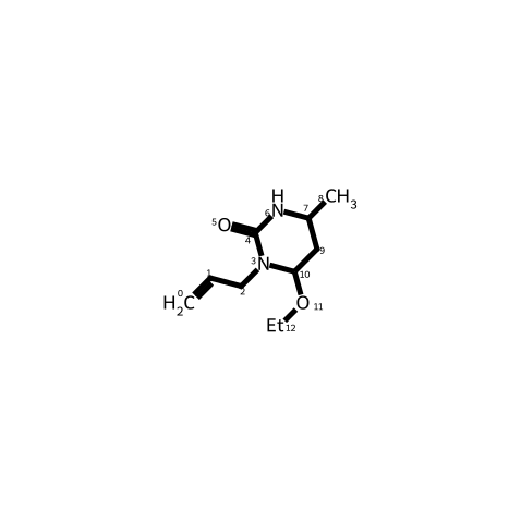 C=CCN1C(=O)NC(C)CC1OCC